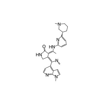 C=N/C(=C1/CNC(=O)/C1=C(/C)Nc1cccc([C@@H]2CCCN(C)C2)n1)c1ccnc2c1ccn2C